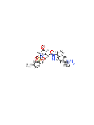 CC(C)(C)C(N)c1ccc2c(c1)CCCC2NC(=O)CC1CC(=O)CN1S(=O)(=O)c1cccc(C(F)(F)F)c1